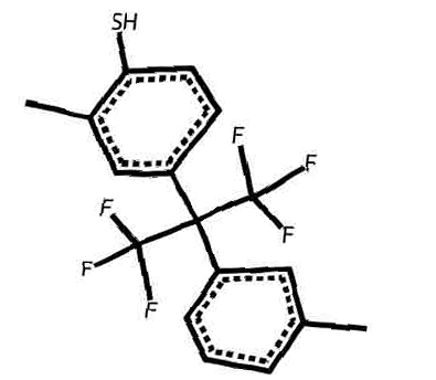 Cc1cccc(C(c2ccc(S)c(C)c2)(C(F)(F)F)C(F)(F)F)c1